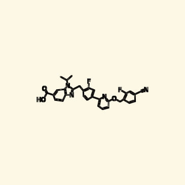 CC(C)n1c(Cc2ccc(-c3cccc(OCc4ccc(C#N)cc4F)n3)cc2F)nc2ccc(C(=O)O)cc21